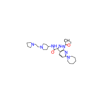 CC(=O)n1nc(C(=O)NC2CCN(CCN3CCCC3)CC2)c2ccc(N3CCCCCC3)nc21